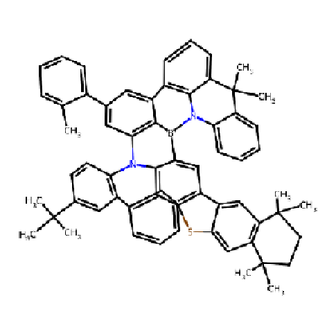 Cc1ccccc1-c1cc2c3c(c1)N(c1ccc(C(C)(C)C)cc1-c1ccccc1)c1cc4sc5cc6c(cc5c4cc1B3N1c3ccccc3C(C)(C)c3cccc-2c31)C(C)(C)CCC6(C)C